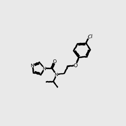 CC(C)N(CCOc1ccc(Cl)cc1)C(=O)n1ccnc1